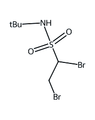 CC(C)(C)NS(=O)(=O)C(Br)CBr